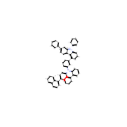 c1ccc(-c2ccc3c4c(-c5cccc(N(c6ccc(-c7cccc8ccccc78)cc6)c6ccccc6-c6ccccc6)c5)cccc4n(-c4ccccc4)c3c2)cc1